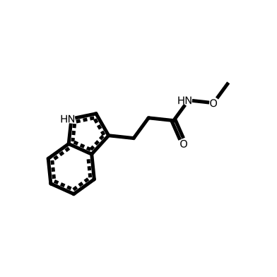 CONC(=O)CCc1c[nH]c2ccccc12